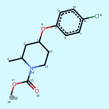 CC1CC(Oc2ccc(Cl)cc2)CCN1C(=O)OC(C)(C)C